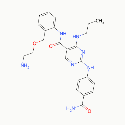 CCCNc1nc(Nc2ccc(C(N)=O)cc2)ncc1C(=O)Nc1ccccc1COCCN